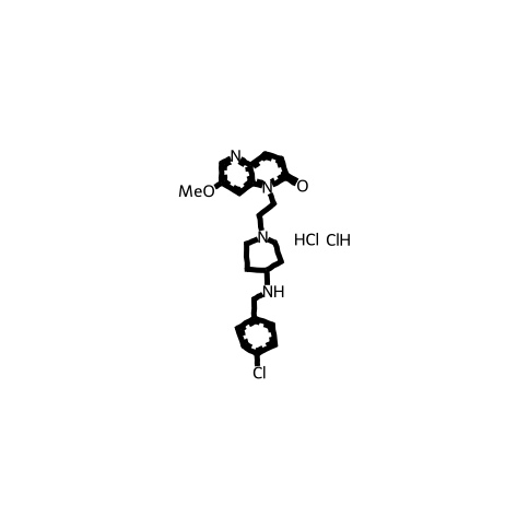 COc1cnc2ccc(=O)n(CCN3CCC(NCc4ccc(Cl)cc4)CC3)c2c1.Cl.Cl